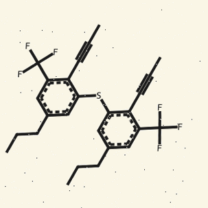 CC#Cc1c(Sc2cc(CCC)cc(C(F)(F)F)c2C#CC)cc(CCC)cc1C(F)(F)F